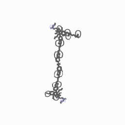 CC/C=C(/C)CCC1ON=C(C(CCCC)(c2ccc(OC)cc2)c2ccc(OC(=O)CCCCC(=O)Oc3ccc(C(C)(C)c4ccc(OC(=O)CCCCC(=O)Oc5ccc(C(CCCC)(C6=NOC(CC/C(C)=C\CC)C6(C)CC)c6ccc(OC(=O)CCCCC(C)=O)cc6)cc5)cc4)cc3)cc2)C1(C)CC